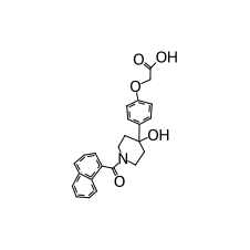 O=C(O)COc1ccc(C2(O)CCN(C(=O)c3cccc4ccccc34)CC2)cc1